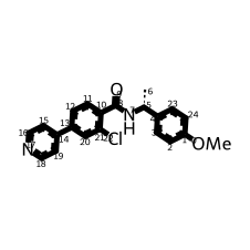 COc1ccc([C@@H](C)NC(=O)c2ccc(-c3ccncc3)cc2Cl)cc1